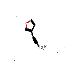 O=C(O)C#Cc1ccoc1